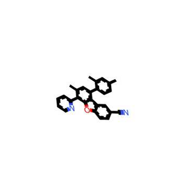 Cc1ccc(-c2cc(C)c(-c3ccccn3)c3oc4ccc(C#N)cc4c23)c(C)c1